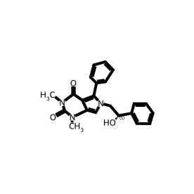 Cn1c(=O)c2c(-c3ccccc3)n(C[C@@H](O)c3ccccc3)cc2n(C)c1=O